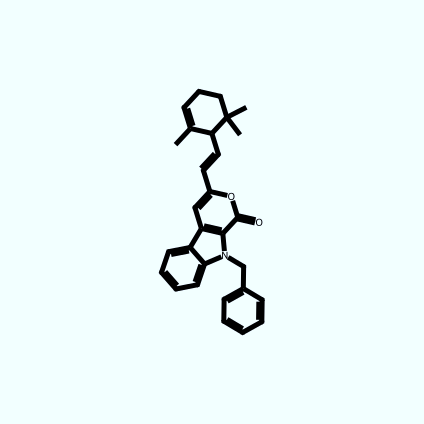 CC1=CCCC(C)(C)C1/C=C/c1cc2c3ccccc3n(Cc3ccccc3)c2c(=O)o1